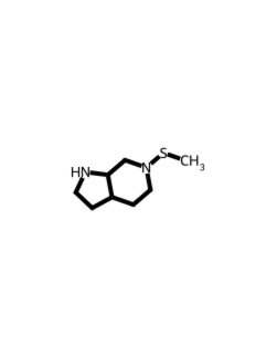 CSN1CCC2CCNC2C1